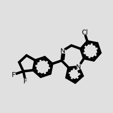 FC1(F)CCc2cc(C3=NCc4c(Cl)cccc4-n4cccc43)ccc21